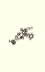 CCCCCCCCOC(=O)C1C[C@H]2CC(F)(CCc3nnn[nH]3)CC[C@H]2CN1C(=O)OCc1ccccc1